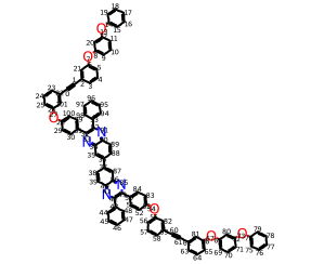 C(#Cc1cccc(Oc2cccc(Oc3ccccc3)c2)c1)c1cccc(Oc2ccc(-c3nc4cc(-c5ccc6nc(-c7ccccc7)c(-c7ccc(Oc8cccc(C#Cc9cccc(Oc%10cccc(Oc%11ccccc%11)c%10)c9)c8)cc7)nc6c5)ccc4nc3-c3ccccc3)cc2)c1